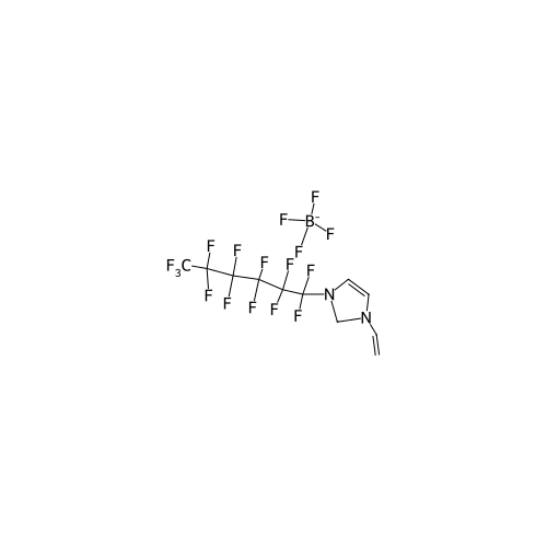 C=CN1C=CN(C(F)(F)C(F)(F)C(F)(F)C(F)(F)C(F)(F)C(F)(F)F)C1.F[B-](F)(F)F